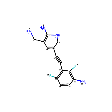 NCC1=C(N)NCC(C#Cc2c(F)ccc(N)c2F)=C1